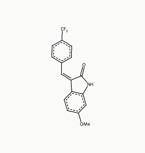 COc1ccc2c(c1)NC(=O)C2=Cc1ccc(C(F)(F)F)cc1